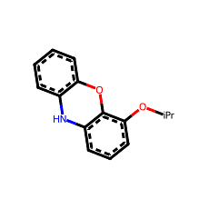 CC(C)Oc1cccc2c1Oc1ccccc1N2